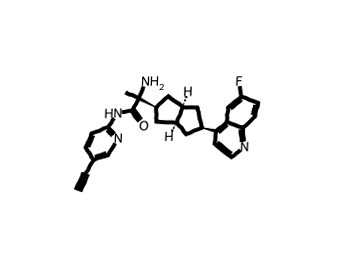 C#Cc1ccc(NC(=O)C(C)(N)[C@H]2C[C@H]3C[C@@H](c4ccnc5ccc(F)cc45)C[C@H]3C2)nc1